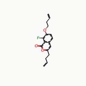 C=CCCOc1ccc2cc(CCC=C)oc(=O)c2c1F